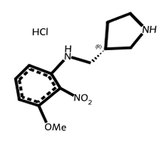 COc1cccc(NC[C@@H]2CCNC2)c1[N+](=O)[O-].Cl